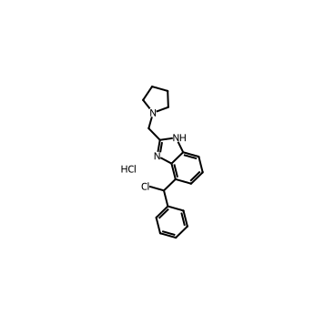 Cl.ClC(c1ccccc1)c1cccc2[nH]c(CN3CCCC3)nc12